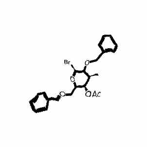 CC(=O)O[C@H]1C(COCc2ccccc2)O[C@@H](Br)C(OCc2ccccc2)[C@H]1C